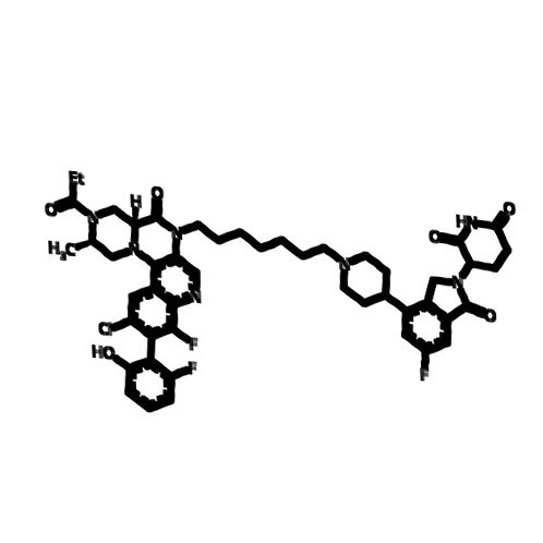 CCC(=O)N1C[C@@H]2C(=O)N(CCCCCCCN3CCC(c4cc(F)cc5c4CN(C4CCC(=O)NC4=O)C5=O)CC3)c3cnc4c(F)c(-c5c(O)cccc5F)c(Cl)cc4c3N2C[C@H]1C